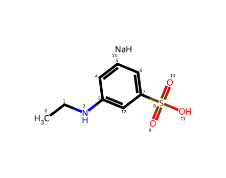 CCNc1cccc(S(=O)(=O)O)c1.[NaH]